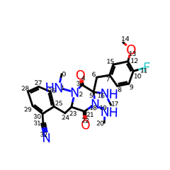 CNN1C(=O)C(Cc2ccc(F)c(OC)c2)(NC)N(NC)C(=O)C1Cc1ccccc1C#N